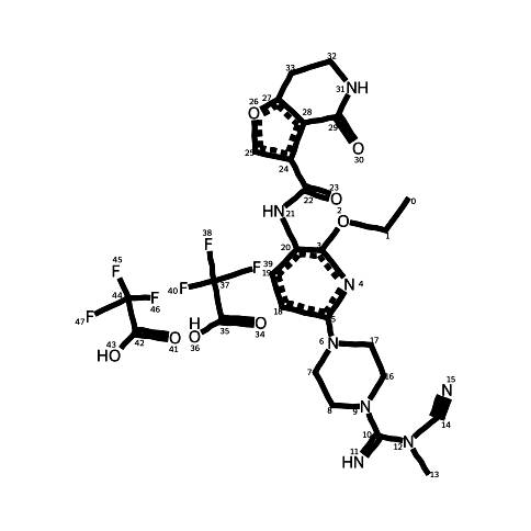 CCOc1nc(N2CCN(C(=N)N(C)C#N)CC2)ccc1NC(=O)c1coc2c1C(=O)NCC2.O=C(O)C(F)(F)F.O=C(O)C(F)(F)F